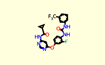 O=C(Nc1cccc(C(F)(F)F)c1)Nc1ccc(Oc2cc(NC(=O)C3CC3)ncn2)cc1F